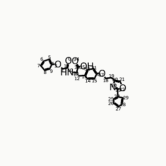 O=C(COc1ccccc1)N[C@@H](Cc1ccc(OCCc2coc(-c3ccccc3)n2)cc1)C(=O)O